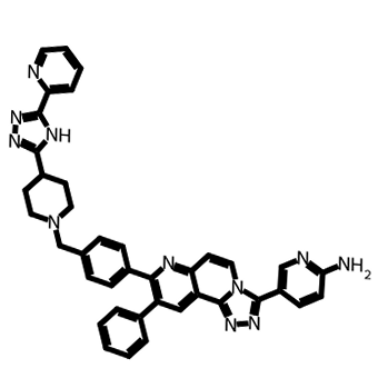 Nc1ccc(-c2nnc3c4cc(-c5ccccc5)c(-c5ccc(CN6CCC(c7nnc(-c8ccccn8)[nH]7)CC6)cc5)nc4ccn23)cn1